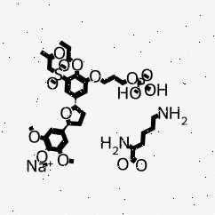 CCCOc1c(OCCCOP(=O)(O)O)cc([C@@H]2CC[C@@H](c3cc(OC)c(OC)c(OC)c3)O2)cc1S(=O)(=O)CC(C)=O.NCCCCC(N)C(=O)[O-].[Na+]